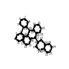 c1ccc(-c2ccccc2-c2c3ccccc3c(-c3cnc4ccccc4c3)c3ccccc23)cc1